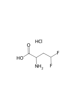 Cl.NC(CC(F)F)C(=O)O